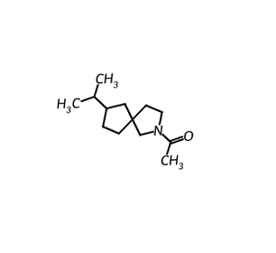 CC(=O)N1CCC2(CCC(C(C)C)C2)C1